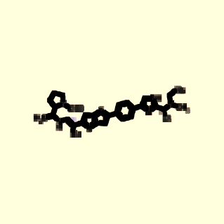 C=C(N/C=C(/c1cc2sc(-c3ccc(-c4c[nH]c([C@H](CC)N(C)CC(C)CC)n4)cc3)cc2s1)C(C)CC)C1CCCN1C=O